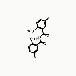 Cc1ccc(C(=O)O)c(C(=O)OC(=O)c2cc(C)ccc2C(=O)O)c1